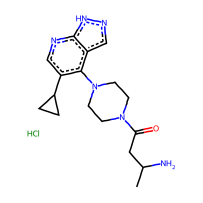 CC(N)CC(=O)N1CCN(c2c(C3CC3)cnc3[nH]ncc23)CC1.Cl